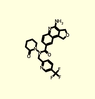 Nc1nc2ccc(C(=O)N(Cc3ccc(C(F)(F)F)cn3)N3CCCCC3=O)cc2c2c1COC2